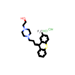 Cl.Cl.OCCN1CCN(CC/C=C2/c3ccccc3Sc3ccc(C(F)(F)F)cc32)CC1